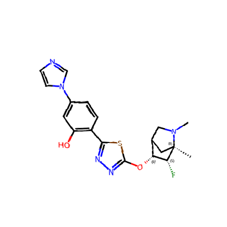 CN1CC2C[C@]1(C)[C@H](F)[C@@H]2Oc1nnc(-c2ccc(-n3ccnc3)cc2O)s1